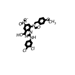 COc1ccc(CN(C=O)c2cc([N+](=O)[O-])cc3c(O)nc(Nc4ccc(Cl)c(Cl)c4)nc23)cc1